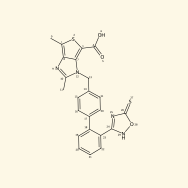 Cc1sc(C(=O)O)c2c1nc(C)n2Cc1ccc(-c2ccccc2-c2nc(=S)o[nH]2)cc1